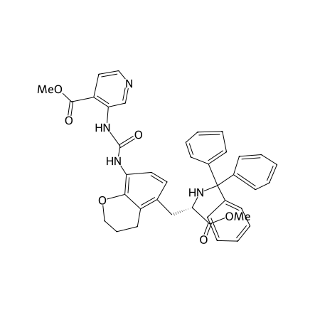 COC(=O)c1ccncc1NC(=O)Nc1ccc(C[C@H](NC(c2ccccc2)(c2ccccc2)c2ccccc2)C(=O)OC)c2c1OCCC2